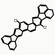 Clc1cc2c3cc4c(c(Cl)c3ccc2c2cc3c(cc12)-c1cccc2c1C3CC=C2)C1=CCCc2cccc-4c21